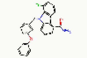 NC(=O)c1cccc2c1c1[c]ccc(Cl)c1n2Cc1cccc(Oc2ccccc2)c1